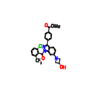 COC(=O)c1ccc(-c2nn(C(=O)c3c(Cl)cccc3C(F)(F)F)c3cc(N4CC(O)C4)ccc23)cc1